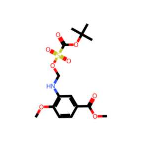 COC(=O)c1ccc(OC)c(NCOS(=O)(=O)C(=O)OC(C)(C)C)c1